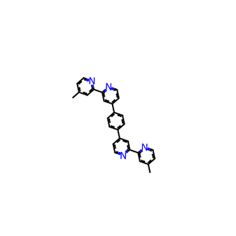 Cc1ccnc(-c2cc(-c3ccc(-c4ccnc(-c5cc(C)ccn5)c4)cc3)ccn2)c1